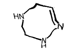 [C]1=NNCNC1